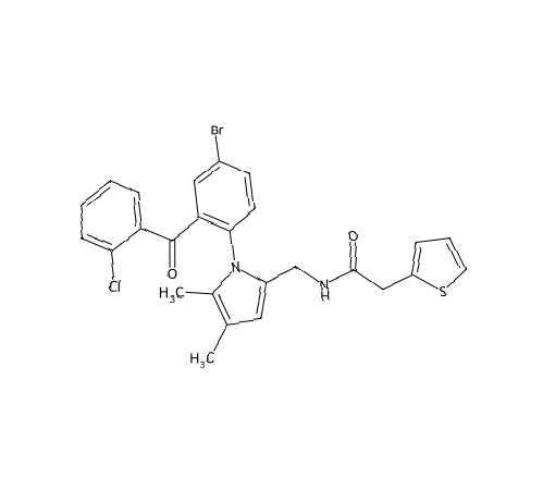 Cc1cc(CNC(=O)Cc2cccs2)n(-c2ccc(Br)cc2C(=O)c2ccccc2Cl)c1C